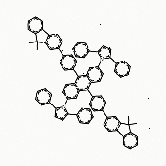 CC1(C)c2ccccc2-c2ccc(-c3ccc(-c4c5ccc(-n6c(-c7ccccc7)ccc6-c6ccccc6)cc5c(-c5ccc(-c6ccc7c(c6)C(C)(C)c6ccccc6-7)cc5)c5ccc(-n6c(-c7ccccc7)ccc6-c6ccccc6)cc45)cc3)cc21